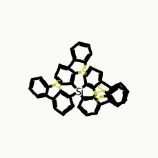 c1ccc2c(c1)sc1c([Si](c3cccc4c3sc3ccccc34)(c3cccc4c3sc3ccccc34)c3cccc4c3sc3ccccc34)cccc12